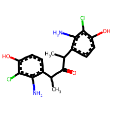 CC(C(=O)C(C)c1ccc(O)c(Cl)c1N)c1ccc(O)c(Cl)c1N